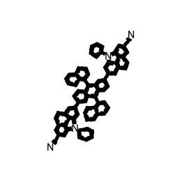 N#Cc1cc2ccc3cc(-c4ccc5c(-c6cccc7ccccc67)c6cc(-c7cc8ccc9cc(C#N)cc%10c9c8c(c7)n%10-c7ccccc7)ccc6c(-c6cccc7ccccc67)c5c4)cc4c3c2c(c1)n4-c1ccccc1